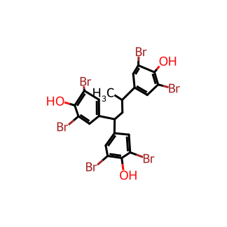 CC(CC(c1cc(Br)c(O)c(Br)c1)c1cc(Br)c(O)c(Br)c1)c1cc(Br)c(O)c(Br)c1